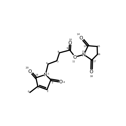 CC1=CC(=O)N(CCCC(=O)ON2C(=O)CCC2=O)C1=O